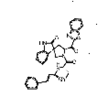 CC(C)C[C@H](NC(=O)/C=C/c1ccccc1)C(=O)N1C[C@]2(C[C@H]1C(=O)c1nc3ccccc3s1)C(=O)Nc1ccccc12